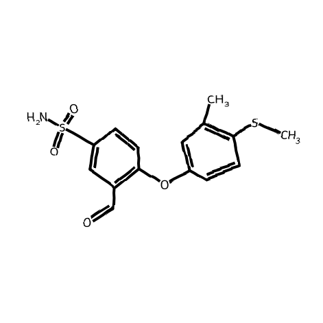 CSc1ccc(Oc2ccc(S(N)(=O)=O)cc2C=O)cc1C